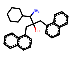 NC(C1CCCCC1)C(O)(Cc1cccc2ccccc12)Cc1cccc2ccccc12